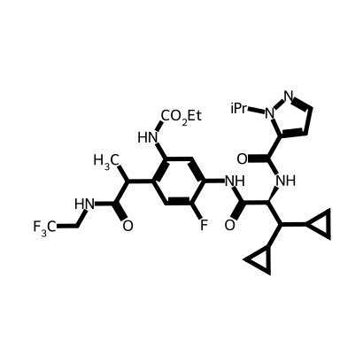 CCOC(=O)Nc1cc(NC(=O)[C@@H](NC(=O)c2ccnn2C(C)C)C(C2CC2)C2CC2)c(F)cc1C(C)C(=O)NCC(F)(F)F